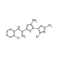 C=C(Nc1ccccc1Cl)c1cc(N)c(-c2cc(C(F)(F)F)nn2CC)s1